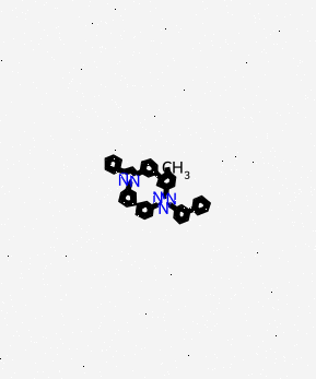 Cc1ccc(-c2nc(-c3ccccc3)nc(-c3cccc(-c4ccccc4)c3)n2)cc1-c1cccc(-c2cc(-c3ccccc3)nc(-c3ccccc3)n2)c1